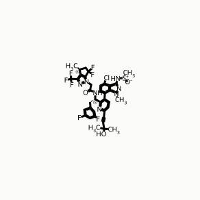 C[C@H]1CC(F)(F)c2c1c(C(F)(F)F)nn2CC(=O)N[C@@H](Cc1cc(F)cc(F)c1)c1nc(C#CC(C)(C)O)ccc1-c1ccc(Cl)c2c(N[S+](C)[O-])nn(C)c12